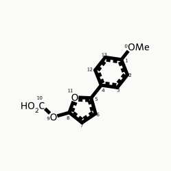 COc1ccc(-c2ccc(OC(=O)O)o2)cc1